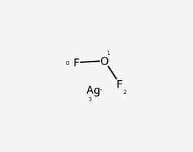 FOF.[Ag]